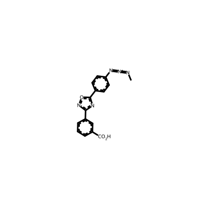 CN=[N+]=Nc1ccc(-c2nc(-c3cccc(C(=O)O)c3)no2)cc1